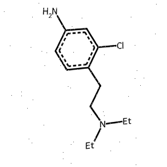 CCN(CC)CCc1ccc(N)cc1Cl